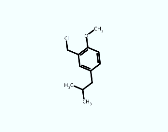 COc1ccc(CC(C)C)cc1CCl